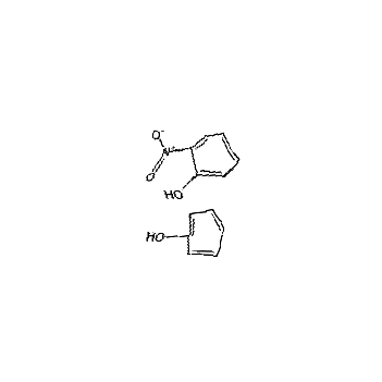 O=[N+]([O-])c1ccccc1O.Oc1ccccc1